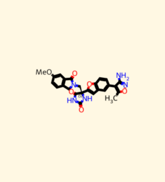 COc1ccc2c(c1)C(=O)N(C[C@@]1(c3cc4cc(-c5c(N)noc5C)ccc4o3)NC(=O)NC1=O)C2